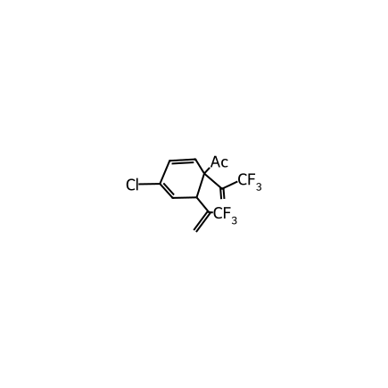 C=C(C1C=C(Cl)C=CC1(C(=C)C(F)(F)F)C(C)=O)C(F)(F)F